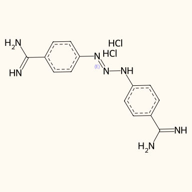 Cl.Cl.N=C(N)c1ccc(/N=N/Nc2ccc(C(=N)N)cc2)cc1